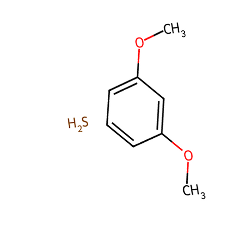 COc1cccc(OC)c1.S